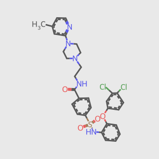 Cc1ccnc(N2CCN(CCNC(=O)c3ccc(S(=O)(=O)Nc4ccccc4Oc4ccc(Cl)c(Cl)c4)cc3)CC2)c1